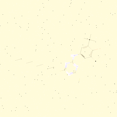 CCCCCCCCSc1nc(Nc2cc(C(C)(C)C)c(O)c(C(C)(C)C)c2)nc(SC)n1